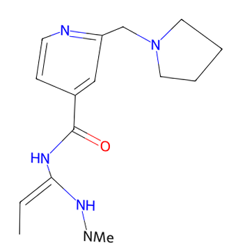 C/C=C(\NNC)NC(=O)c1ccnc(CN2CCCC2)c1